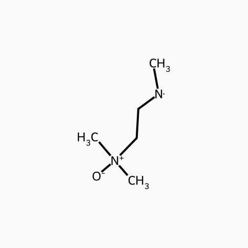 C[N]CC[N+](C)(C)[O-]